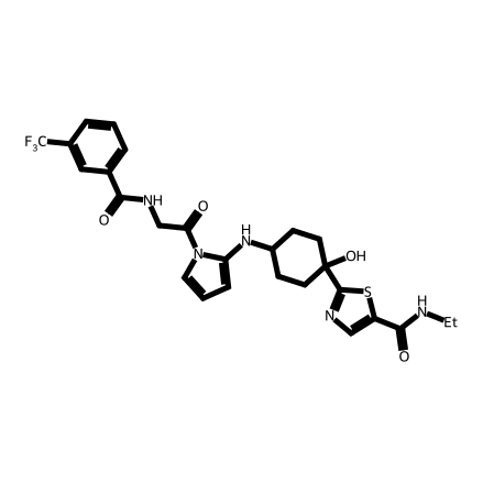 CCNC(=O)c1cnc(C2(O)CCC(Nc3cccn3C(=O)CNC(=O)c3cccc(C(F)(F)F)c3)CC2)s1